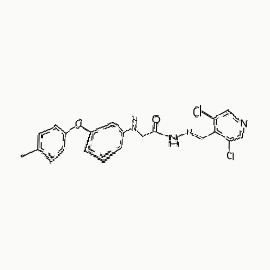 Cc1ccc(Oc2cccc(NCC(=O)N/N=C/c3c(Cl)cncc3Cl)c2)cc1